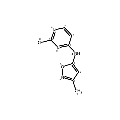 Cc1cc(Nc2ccnc(Cl)n2)on1